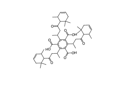 CC(CC(=O)C1C(C)C=CCC1(C)C)c1c(C(=O)O)c(C(C)CC(=O)C2C(C)C=CCC2(C)C)c(C(=O)O)c(C(C)CC(=O)C2C(C)C=CCC2(C)C)c1C(=O)O